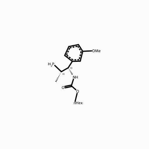 CCCCCCOC(=O)N[C@@H](c1cccc(OC)c1)[C@H](C)P